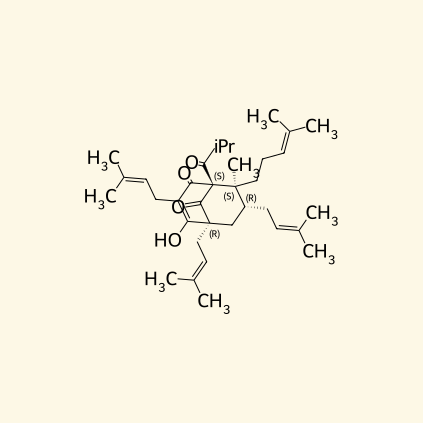 CC(C)=CCC[C@@]1(C)[C@H](CC=C(C)C)C[C@]2(CC=C(C)C)C(=O)[C@]1(C(=O)C(C)C)C(=O)C(CC=C(C)C)=C2O